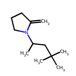 C=C1CCCN1C(C)CC(C)(C)C